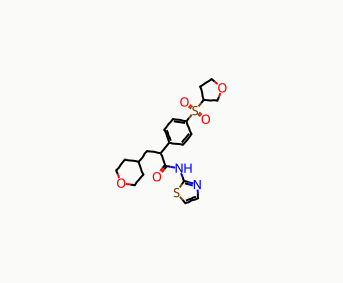 O=C(Nc1nccs1)C(CC1CCOCC1)c1ccc(S(=O)(=O)C2CCOC2)cc1